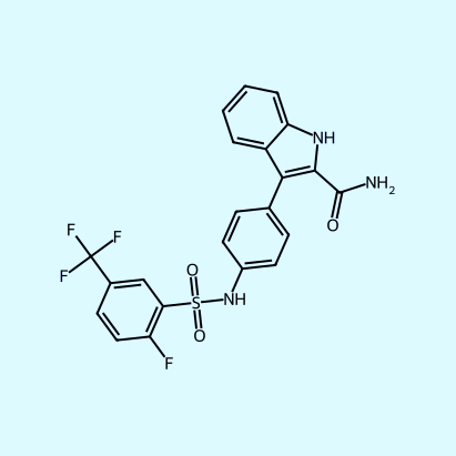 NC(=O)c1[nH]c2ccccc2c1-c1ccc(NS(=O)(=O)c2cc(C(F)(F)F)ccc2F)cc1